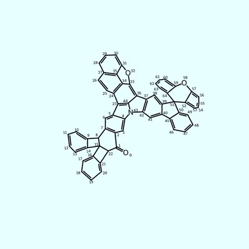 O=C1c2cc3c(cc2C2c4ccccc4C24c2ccccc2C14)c1c2ccc4cccc5oc(c2c45)c2c4cc5c(cc4n3c12)-c1ccccc1C51c2ccccc2Oc2ccccc21